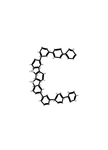 c1ccc(-c2ccc(-c3cccc(-c4ccc5oc6c(ccc7c8cc(-c9cccc(-c%10ccc(-c%11ccccc%11)cc%10)c9)ccc8oc76)c5c4)c3)cc2)cc1